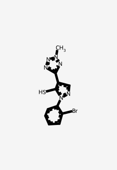 Cn1nnc(-c2cnn(-c3ccccc3Br)c2S)n1